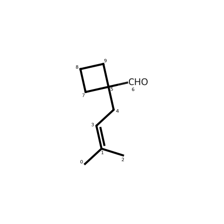 CC(C)=CCC1(C=O)CCC1